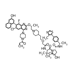 C=CC(=O)N1CCN(c2nc(O[C@H](C)CN3CCC(CCOCC(=O)N[C@H](C(=O)N4C[C@H](O)C[C@H]4C(=O)N[C@@H](C)c4ccc(-c5scnc5C)cc4)C(C)(C)C)CC3)nc3c(F)c(-c4cc(O)cc5ccccc45)c(Cl)cc23)CC1